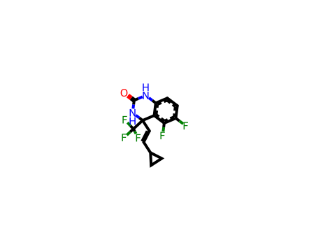 O=C1Nc2ccc(F)c(F)c2C(/C=C/C2CC2)(C(F)(F)F)N1